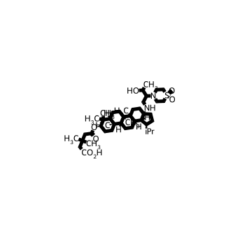 CC(O)C(CN[C@]12CC[C@@H](C(C)C)[C@@H]1[C@H]1CC[C@@H]3[C@@]4(C)CC[C@H](OC(=O)CC(C)(C)CC(=O)O)C(C)(C)[C@@H]4CC[C@@]3(C)[C@]1(C)CC2)N1CCS(=O)(=O)CC1